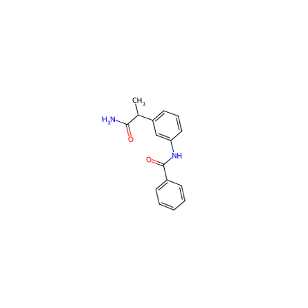 CC(C(N)=O)c1cccc(NC(=O)c2ccccc2)c1